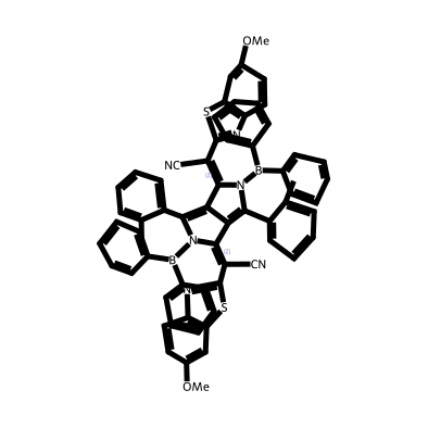 COc1ccc2nc(/C(C#N)=c3/c4c(-c5ccccc5C)n(B(c5ccccc5)c5ccccc5)/c(=C(/C#N)c5nc6ccc(OC)cc6s5)c4c(-c4ccccc4C)n3B(c3ccccc3)c3ccccc3)sc2c1